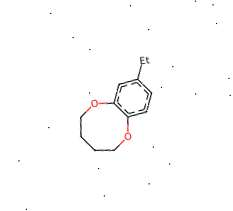 CCc1ccc2c(c1)OCCCCO2